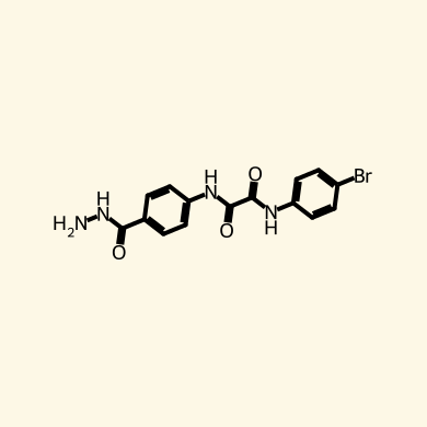 NNC(=O)c1ccc(NC(=O)C(=O)Nc2ccc(Br)cc2)cc1